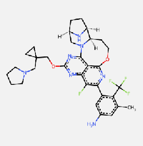 Cc1cc(N)cc(-c2nc3c4c(nc(OCC5(CN6CCCC6)CC5)nc4c2F)N2C[C@H]4CC[C@H](N4)[C@H]2CCO3)c1C(F)(F)F